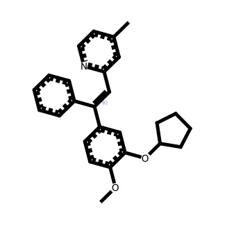 COc1ccc(/C(=C/c2cc(C)ccn2)c2ccccc2)cc1OC1CCCC1